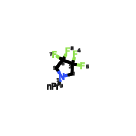 CCCN1CC(F)(F)C(F)(F)C1